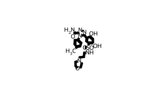 Cc1ccc(-n2c(C(N)=O)nnc2-c2cc(S(=O)(=O)NCCCN3CCOCC3)c(O)cc2O)cc1